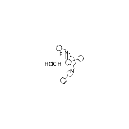 Cl.Cl.Fc1ccccc1CNCCCC(CCCN1CCC(c2ccccc2)CC1)(c1ccccc1)c1ccccc1